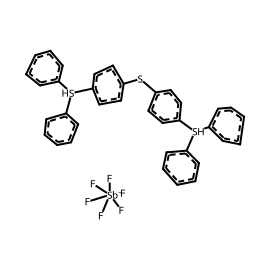 [F][Sb-]([F])([F])([F])([F])[F].c1ccc([SH](c2ccccc2)c2ccc(Sc3ccc([SH](c4ccccc4)c4ccccc4)cc3)cc2)cc1